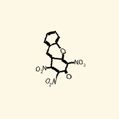 O=c1c([N+](=O)[O-])c2oc3ccccc3cc-2c([N+](=O)[O-])c1[N+](=O)[O-]